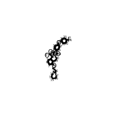 O=C(O)C1c2cccc(OCCN3CCCCC3)c2CCN1S(=O)(=O)c1ccc(Oc2ccc(F)cc2)cc1